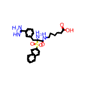 N=C(N)c1cccc(C[C@](N)(C(=O)NCCCCCC(=O)O)S(=O)(=O)c2ccc3ccccc3c2)c1